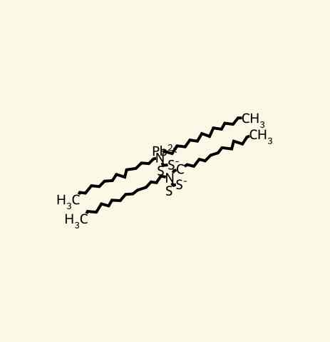 CCCCCCCCCCCCCCN(CCCCCCCCCCCCCC)C(=S)[S-].CCCCCCCCCCCCCCN(CCCCCCCCCCCCCC)C(=S)[S-].[Pb+2]